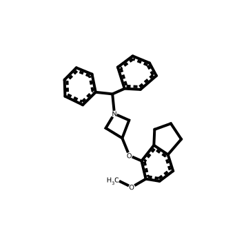 COc1ccc2c(c1OC1CN(C(c3ccccc3)c3ccccc3)C1)CCC2